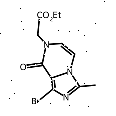 CCOC(=O)Cn1ccn2c(C)nc(Br)c2c1=O